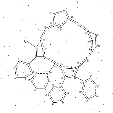 ClC1=C(c2ccccc2)c2nc1cc1ccc(cc3nc(cc4[nH]c(c2-c2ccccc2)c(-c2ccccc2)c4-c2ccccc2)C=C3)[nH]1